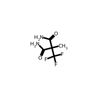 CC(C(N)=O)(C(N)=O)C(F)(F)F